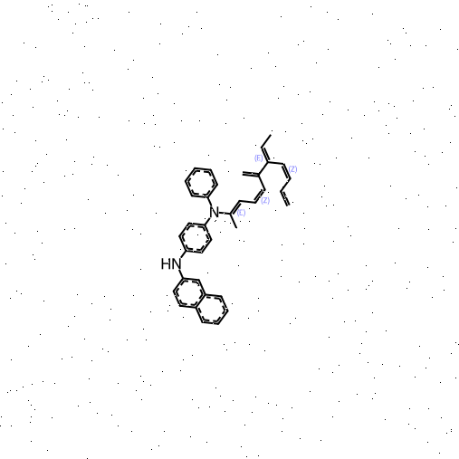 C=C/C=C\C(=C/C)C(=C)/C=C\C=C(/C)N(c1ccccc1)c1ccc(Nc2ccc3ccccc3c2)cc1